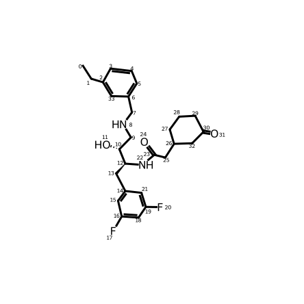 CCc1cccc(CNC[C@@H](O)[C@H](Cc2cc(F)cc(F)c2)NC(=O)CC2CCCC(=O)C2)c1